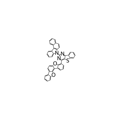 c1ccc2c(c1)ccc1c2c2ccccc2n1-c1nc(-c2cccc3c2oc2ccc4c5ccccc5oc4c23)c2sc3ccccc3c2n1